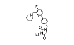 CCN1C(=O)CN(Cc2ccc(-c3ccc(F)c(CN4CCCCC4)n3)cc2)C1=O